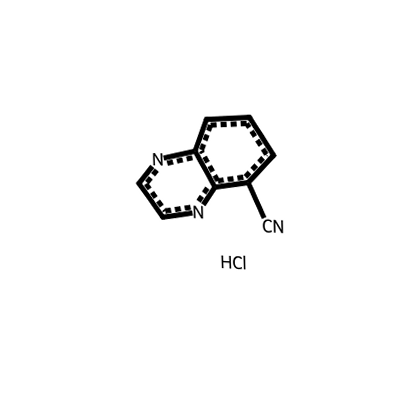 Cl.N#Cc1cccc2nccnc12